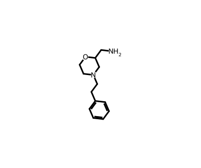 NCC1CN(CCc2ccccc2)CCO1